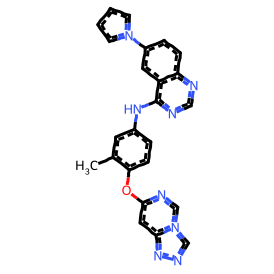 Cc1cc(Nc2ncnc3ccc(-n4cccc4)cc23)ccc1Oc1cc2nncn2cn1